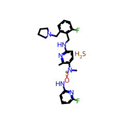 Cc1nc(NCc2c(F)cccc2CN2CCCC2)ccc1N(C)SONc1cccc(F)n1.S